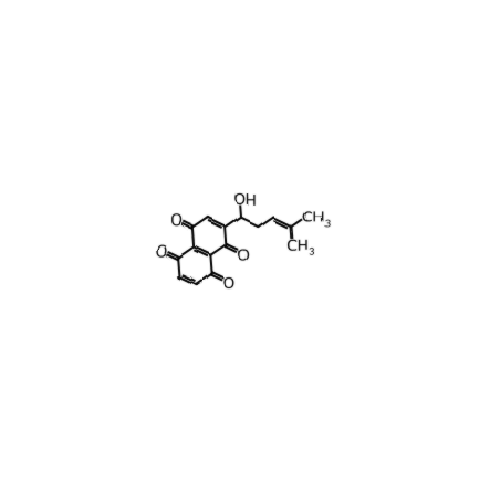 CC(C)=CCC(O)c1cc(=O)c2c(=O)ccc(=O)c=2c1=O